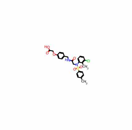 Cc1ccc(S(=O)(=O)N(CC(=O)NCc2ccc(OCC(=O)O)cc2)c2cccc(Cl)c2C)cc1